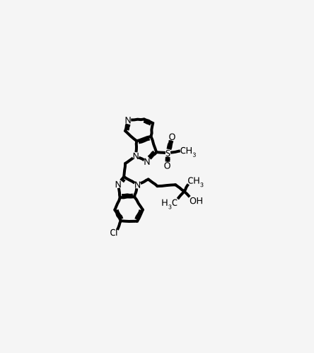 CC(C)(O)CCCn1c(Cn2nc(S(C)(=O)=O)c3ccncc32)nc2cc(Cl)ccc21